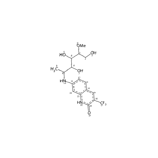 COC(CO)C(O)C(O)C(C)Nc1ccc2cc(C(F)(F)F)c(=O)[nH]c2c1